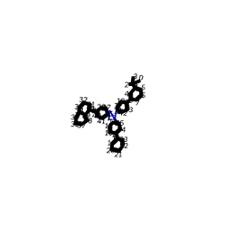 CC(C)(C)c1cccc(-c2ccc(N(c3ccc(-c4ccccc4)cc3)c3ccc(-c4cccc5ccccc45)cc3)cc2)c1